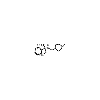 CN1CCC(CNC(CO)(C(=O)O)c2ccccc2)CC1